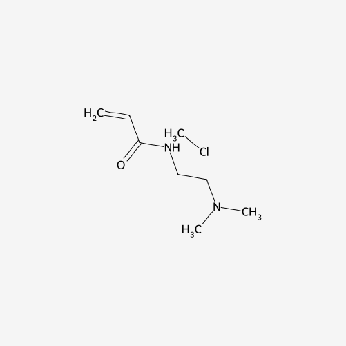 C=CC(=O)NCCN(C)C.CCl